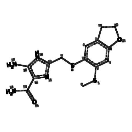 CSc1cc2c(cc1SCc1nc(C(N)=O)c(N)[nH]1)CCO2